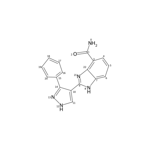 NC(=O)c1cccc2[nH]c(-c3c[nH]nc3-c3ccccc3)nc12